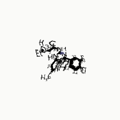 CCOC[C@H](C)N/C(=N/C(=O)c1ccc(Cl)c(F)c1)NC1CC(C)NN1